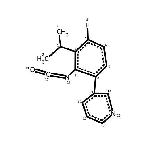 CC(C)c1c(F)ccc(-c2cccnc2)c1N=C=O